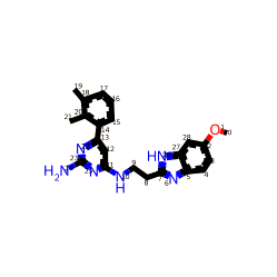 COc1ccc2nc(CCNc3cc(-c4cccc(C)c4C)nc(N)n3)[nH]c2c1